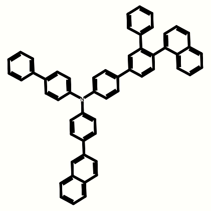 c1ccc(-c2ccc(N(c3ccc(-c4ccc(-c5cccc6ccccc56)c(-c5ccccc5)c4)cc3)c3ccc(-c4ccc5ccccc5c4)cc3)cc2)cc1